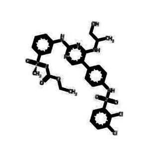 CCOC(=O)N=[S@@](C)(=O)c1cccc(Nc2ncc(-c3ccc(NS(=O)(=O)c4cccc(Cl)c4Cl)cc3)c(NC(C)CO)n2)c1